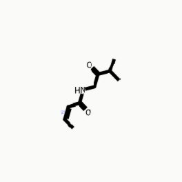 C/C=C\C(=O)NCC(=O)C(C)C